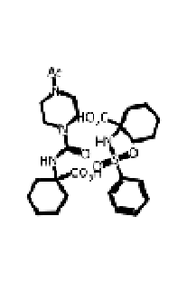 CC(=O)N1CCN(C(=O)NC2(C(=O)O)CCCCC2)CC1.O=C(O)C1(NS(=O)(=O)c2ccccc2)CCCCC1